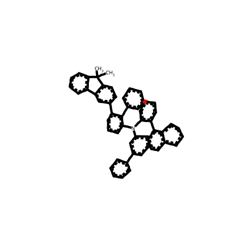 CC1(C)c2ccccc2-c2cc(-c3cccc(N(c4cccc(-c5ccccc5)c4)c4ccccc4-c4cccc5ccccc45)c3-c3ccccc3)ccc21